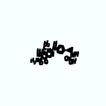 CCn1c(N)c(C(N)=O)c(=O)c2cnc(Nc3ccc([C@@H]4C[C@H]4NC(=O)O)cc3)nc21